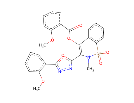 COc1ccccc1C(=O)OC1=C(c2nnc(-c3ccccc3OC)o2)N(C)S(=O)(=O)c2ccccc21